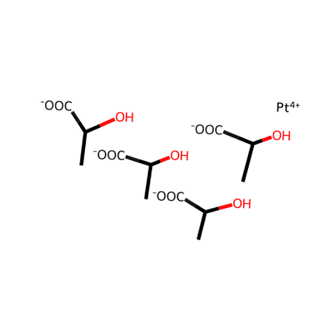 CC(O)C(=O)[O-].CC(O)C(=O)[O-].CC(O)C(=O)[O-].CC(O)C(=O)[O-].[Pt+4]